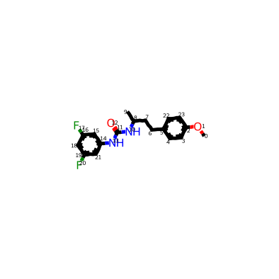 COc1ccc(CCC(C)NC(=O)Nc2cc(F)cc(F)c2)cc1